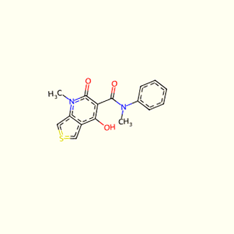 CN(C(=O)c1c(O)c2cscc2n(C)c1=O)c1ccccc1